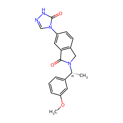 COc1cccc([C@@H](C)N2Cc3ccc(-n4cn[nH]c4=O)cc3C2=O)c1